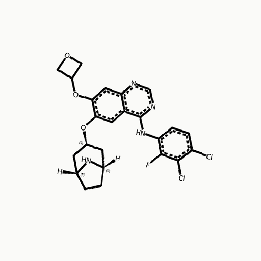 Fc1c(Nc2ncnc3cc(OC4COC4)c(O[C@@H]4C[C@H]5CC[C@@H](C4)N5)cc23)ccc(Cl)c1Cl